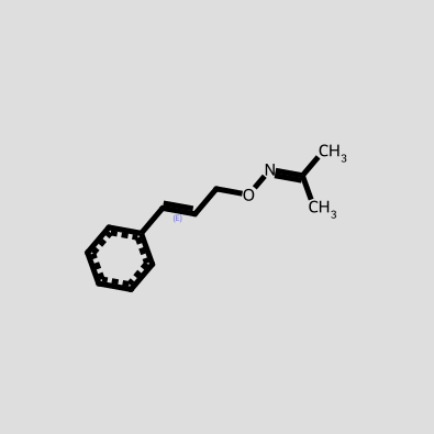 CC(C)=NOC/C=C/c1ccccc1